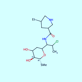 CCC1CNCC(C(=O)NC(C(C)Cl)C2CC(O)[C@H](O)[C@@H](SC)O2)C1